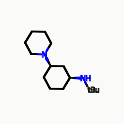 CC(C)(C)N[C@H]1CCC[C@@H](N2CCCCC2)C1